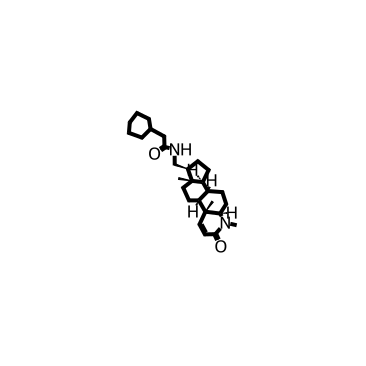 CN1C(=O)C=C[C@]2(C)[C@H]3CC[C@]4(C)[C@@H](CNC(=O)CC5CCCCC5)CC[C@H]4[C@@H]3CC[C@@H]12